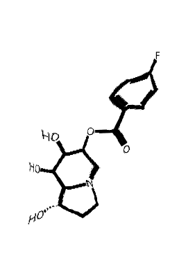 O=C(OC1CN2CC[C@H](O)C2C(O)C1O)c1ccc(F)cc1